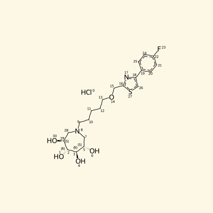 Cl.O[C@H]1[C@H](O)[C@@H](O)CN(CCCCCOCc2nc(-c3ccc(F)cc3)cs2)C[C@@H]1O